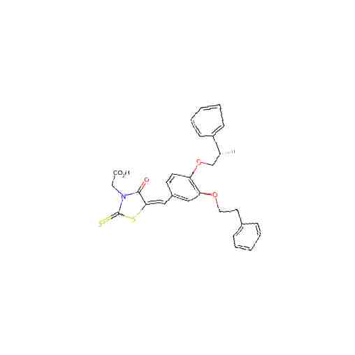 C[C@H](COc1ccc(C=C2SC(=S)N(CC(=O)O)C2=O)cc1OCCc1ccccc1)c1ccccc1